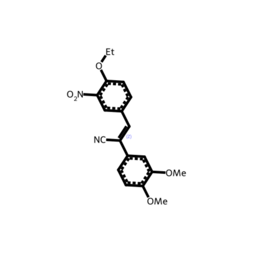 CCOc1ccc(/C=C(\C#N)c2ccc(OC)c(OC)c2)cc1[N+](=O)[O-]